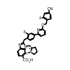 CC(=O)N1CCC[C@@H]1Cn1c(Cc2ccc(-c3cccc(OCc4ccc(C#N)cc4F)n3)cc2F)nc2ccc(C(=O)O)cc21